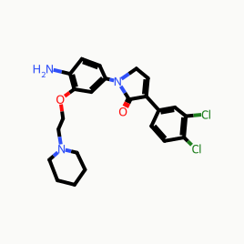 Nc1ccc(N2CC=C(c3ccc(Cl)c(Cl)c3)C2=O)cc1OCCN1CCCCC1